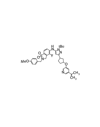 C=C(C)c1cncc(OC2CCC(c3cc(Nc4ccc5c(c4F)CN(Cc4ccc(OC)cc4)S5(=O)=O)n(C(C)(C)C)n3)C2)c1